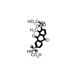 Cc1c(S(=O)(=O)NC(=O)O)ccc2c1C(=O)c1cc(S(=O)(=O)NC(=O)O)ccc1C2=O